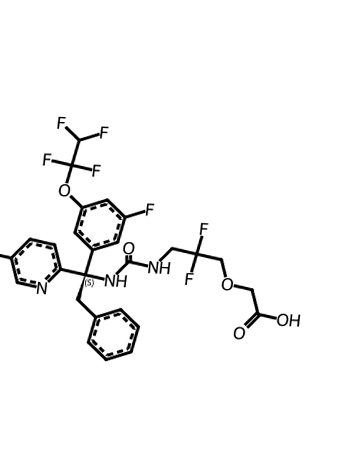 O=C(O)COCC(F)(F)CNC(=O)N[C@@](Cc1ccccc1)(c1cc(F)cc(OC(F)(F)C(F)F)c1)c1ccc(Cl)cn1